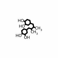 CC(CC1CCC(O)C(O)C1)C(C)CC1CCC(O)C(O)C1